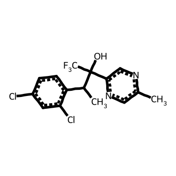 Cc1cnc(C(O)(C(C)c2ccc(Cl)cc2Cl)C(F)(F)F)cn1